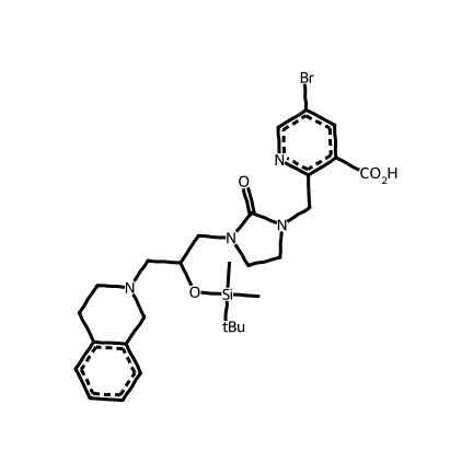 CC(C)(C)[Si](C)(C)OC(CN1CCc2ccccc2C1)CN1CCN(Cc2ncc(Br)cc2C(=O)O)C1=O